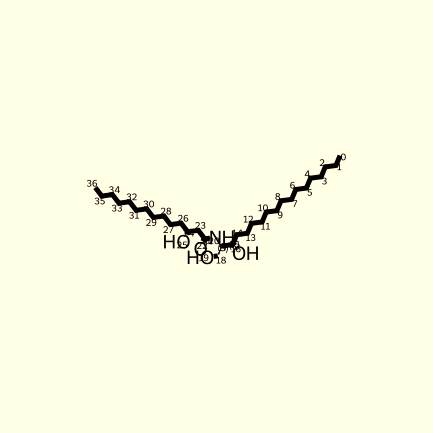 CCCCCCCCCCCCCCC[C@@H](O)[C@H](CO)NC(=O)CC(O)CCCCCCCCCCC